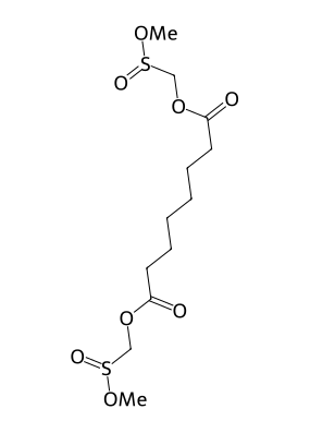 COS(=O)COC(=O)CCCCCCC(=O)OCS(=O)OC